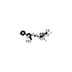 CC(C)(CNC(=O)C(F)(F)F)SSCO[C@@H]1C[C@H](C2CCCC2)OC1CO